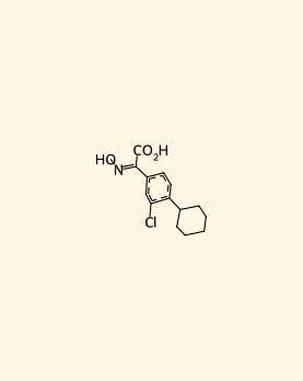 O=C(O)C(=NO)c1ccc(C2CCCCC2)c(Cl)c1